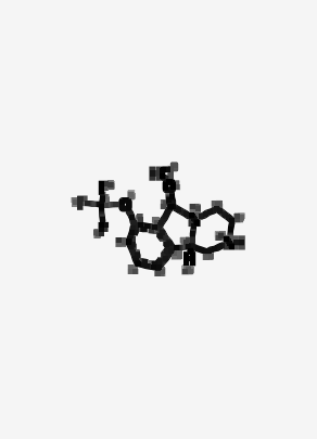 Cl.O=C1c2c(OC(F)(F)F)cccc2[C@H]2CNCCN12